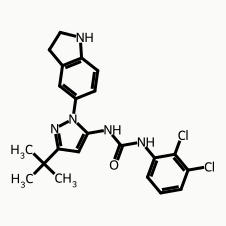 CC(C)(C)c1cc(NC(=O)Nc2cccc(Cl)c2Cl)n(-c2ccc3c(c2)CCN3)n1